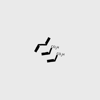 C=CC(=O)O.C=CC(=O)O.C=CC=C